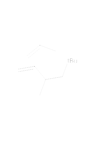 C=CC.C=CC(C)CC(C)(C)C